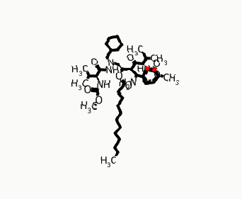 CCCCCCCCCCCC(=O)O[C@@H](CN(CC1CCCCC1)NC(=O)[C@@H](NC(=O)OC)C(C)C)C(C(=O)[C@@H](NC(=O)OC)C(C)C)C(N)c1ccccc1